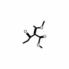 CCC(=O)/C(C(=O)OC)=C(\C)OC